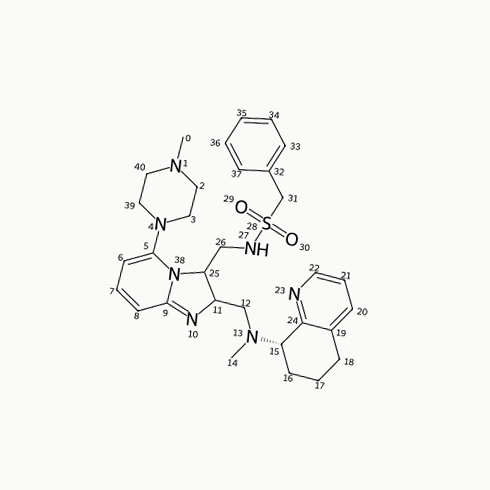 CN1CCN(C2=CC=CC3=NC(CN(C)[C@H]4CCCc5cccnc54)C(CNS(=O)(=O)Cc4ccccc4)N23)CC1